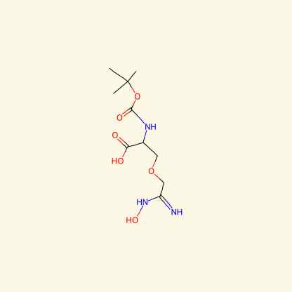 CC(C)(C)OC(=O)NC(COCC(=N)NO)C(=O)O